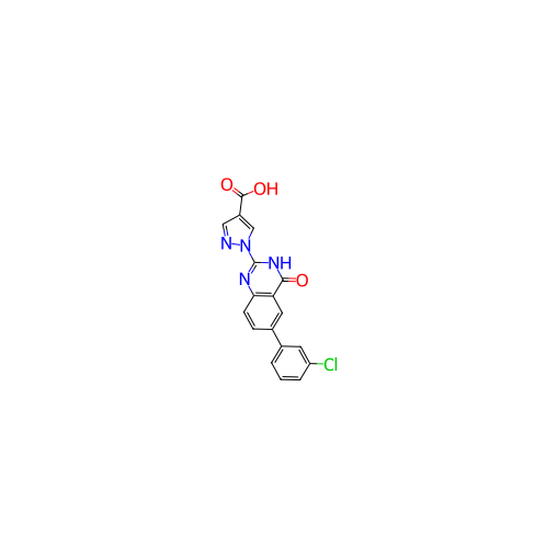 O=C(O)c1cnn(-c2nc3ccc(-c4cccc(Cl)c4)cc3c(=O)[nH]2)c1